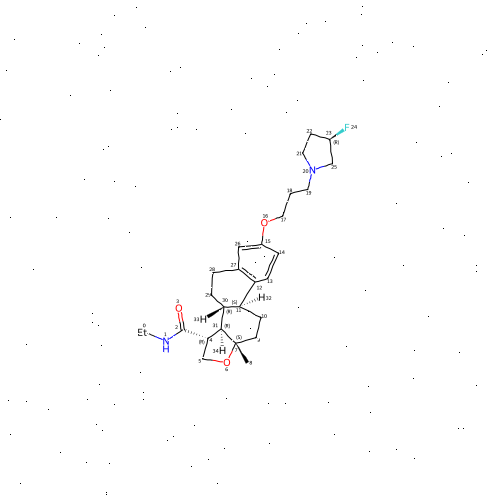 CCNC(=O)[C@H]1CO[C@@]2(C)CC[C@@H]3c4ccc(OCCCN5CC[C@@H](F)C5)cc4CC[C@H]3[C@H]12